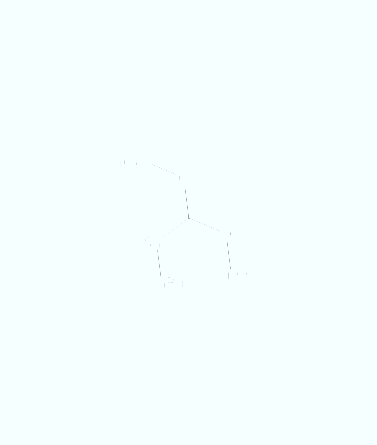 CCCCCCCCO[CH](OCCCCCCCC)[Sn][CH2]CCC